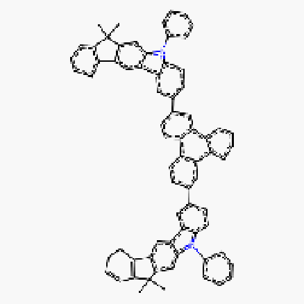 CC1(C)C2=C(CCC=C2)c2cc3c4cc(-c5ccc6c7ccc(-c8ccc9c(c8)c8cc%10c(cc8n9-c8ccccc8)C(C)(C)c8ccccc8-%10)cc7c7ccccc7c6c5)ccc4n(-c4ccccc4)c3cc21